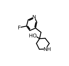 OC1(Cc2cncc(F)c2)CCNCC1